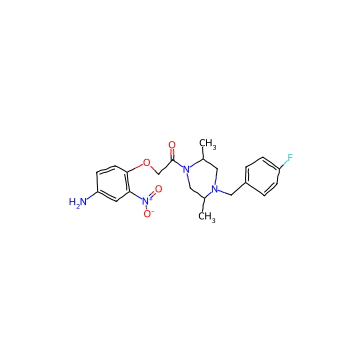 CC1CN(C(=O)COc2ccc(N)cc2[N+](=O)[O-])C(C)CN1Cc1ccc(F)cc1